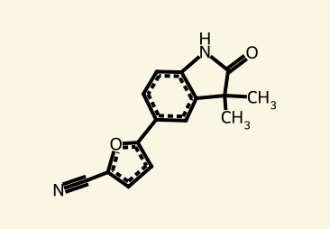 CC1(C)C(=O)Nc2ccc(-c3ccc(C#N)o3)cc21